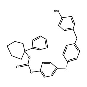 CC(C)(C)c1ccc(Cc2ccc(Sc3ccc(OC(=O)OC4(c5ccccc5)CCCCC4)cc3)cc2)cc1